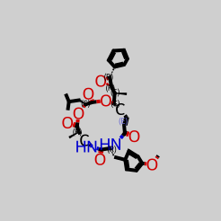 COc1ccc(C[C@H]2NC(=O)/C=C/C[C@@H]([C@H](C)[C@H]3O[C@@H]3c3ccccc3)OC(=O)[C@H](CC(C)C)OC(=O)[C@H](C)CNC2=O)cc1